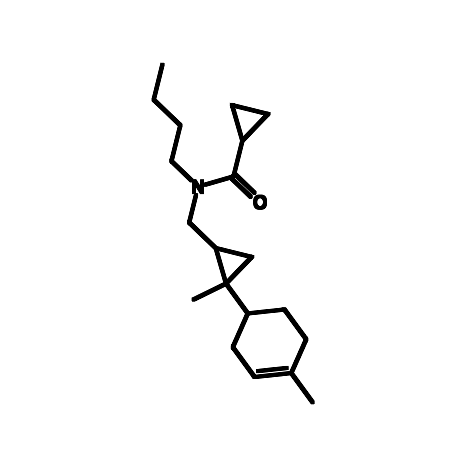 CCCCN(CC1CC1(C)C1CC=C(C)CC1)C(=O)C1CC1